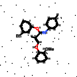 CCc1cccc(OC(=N\c2ccc(C)cc2)/C(C)=C/Oc2ccccc2OC)c1